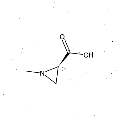 CN1C[C@@H]1C(=O)O